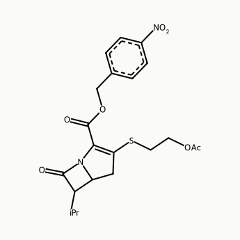 CC(=O)OCCSC1=C(C(=O)OCc2ccc([N+](=O)[O-])cc2)N2C(=O)C(C(C)C)C2C1